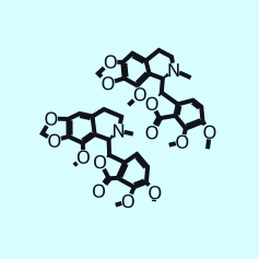 COc1ccc2c(c1OC)C(=O)O[C@@H]2[C@H]1c2c(cc3c(c2OC)OCO3)CCN1C.COc1ccc2c(c1OC)C(=O)O[C@@H]2[C@H]1c2c(cc3c(c2OC)OCO3)CCN1C